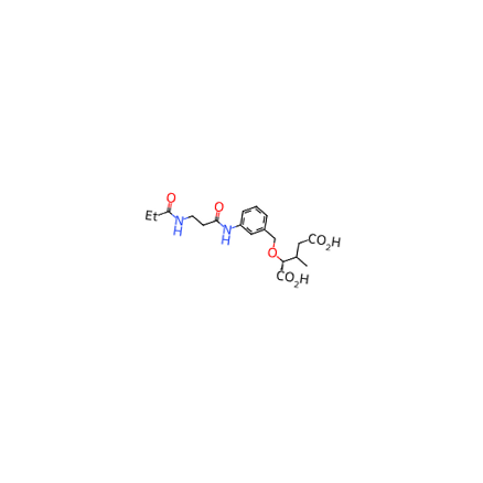 CCC(=O)NCCC(=O)Nc1cccc(CO[C@H](C(=O)O)C(C)CC(=O)O)c1